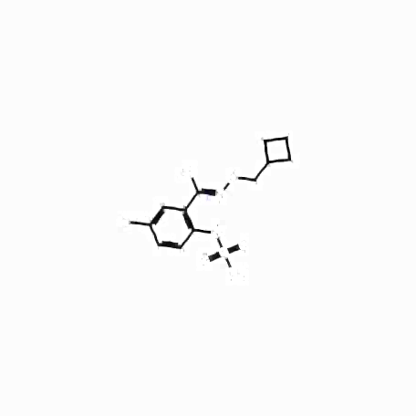 CC/C(=N\OCC1CCC1)c1cc(Cl)ccc1NS(=O)(=O)C(F)(F)F